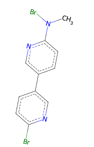 CN(Br)c1ccc(-c2ccc(Br)nc2)cn1